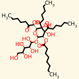 CCCCCCCC(=O)O[C@@H]1[C@H](OC(O)[C@H](O)[C@H](O)[C@@H](O)CO)O[C@H](C(O)C(=O)CCCCC)[C@](O)(C(=O)CCCCC)[C@@]1(O)C(=O)CCCCC